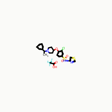 CC(c1ccccc1)N1CCC(Oc2ccc(S(=O)(=O)Nc3cscn3)cc2Cl)CC1.O=C(O)C(F)(F)F